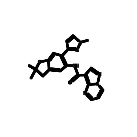 Cn1ccc(-c2cc3c(cc2NC(=O)c2cnn4cccnc24)CC(C)(C)O3)n1